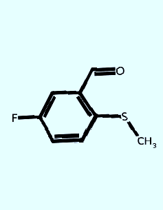 CSc1ccc(F)cc1C=O